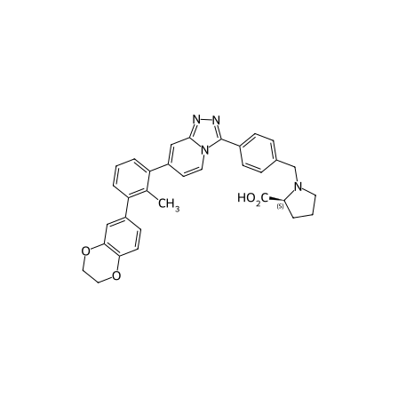 Cc1c(-c2ccc3c(c2)OCCO3)cccc1-c1ccn2c(-c3ccc(CN4CCC[C@H]4C(=O)O)cc3)nnc2c1